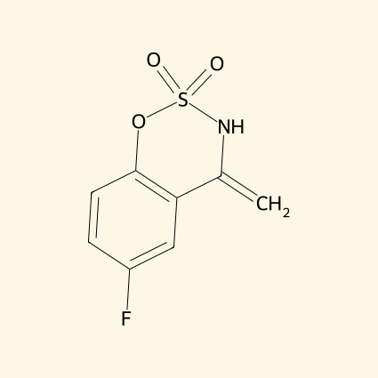 C=C1NS(=O)(=O)Oc2ccc(F)cc21